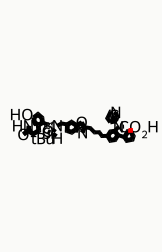 CC(C)(C)[Si](C)(C)O[C@@H](CNCc1ccc2nc(CCCCc3ccc(-c4ccccc4)c(N(C(=O)O)C4CN5CCC4CC5)c3)oc2c1)c1ccc(O)c2[nH]c(=O)ccc12